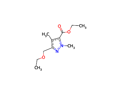 CCOCc1nn(C)c(C(=O)OCC)c1C